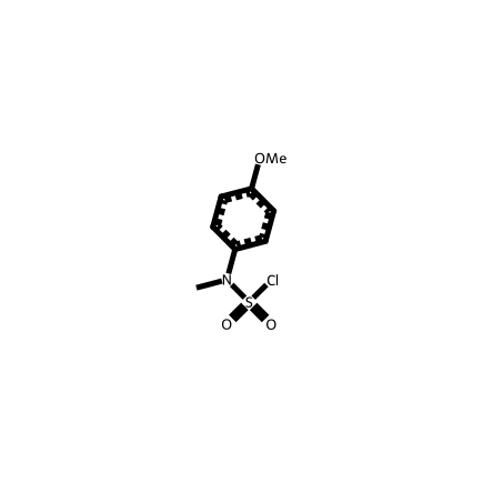 COc1ccc(N(C)S(=O)(=O)Cl)cc1